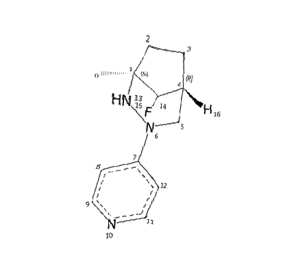 C[C@@]12CC[C@H](CN(c3ccncc3)N1)C2F